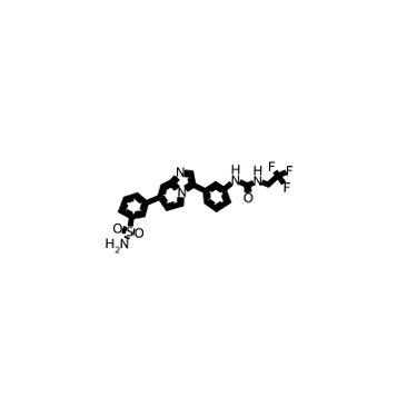 NS(=O)(=O)c1cccc(-c2ccn3c(-c4cccc(NC(=O)NCC(F)(F)F)c4)cnc3c2)c1